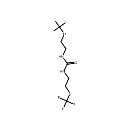 O=C(NCCOC(F)(F)F)NCCOC(F)(F)F